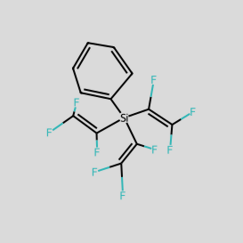 FC(F)=C(F)[Si](C(F)=C(F)F)(C(F)=C(F)F)c1ccccc1